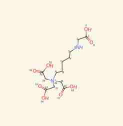 O=C(O)CNCCCCC[N+](CC(=O)O)(CC(=O)O)CC(=O)O